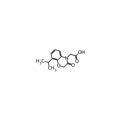 CC(C)c1cccc2c1OCC(=O)N2CC(=O)O